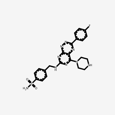 NS(=O)(=O)c1ccc(CNc2nc(N3CCNCC3)c3nc(-c4ccc(F)cc4)nnc3n2)cc1